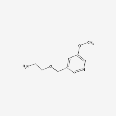 COc1cncc(COCCN)c1